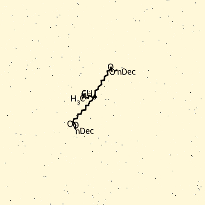 CCCCCCCCCCCOC(=O)CCCCCCCCCCC1(CCN(C)C)CC1CCCCCCCCCC(=O)OCCCCCCCCCCC